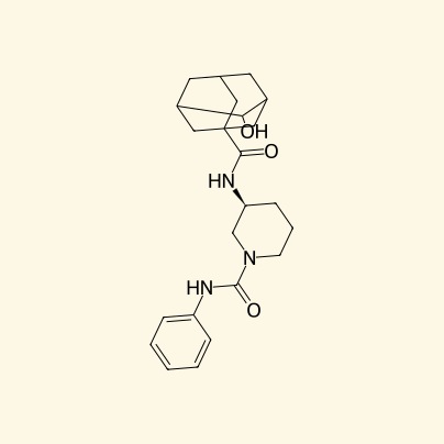 O=C(Nc1ccccc1)N1CCC[C@H](NC(=O)C23CC4CC(C2)C(O)C(C4)C3)C1